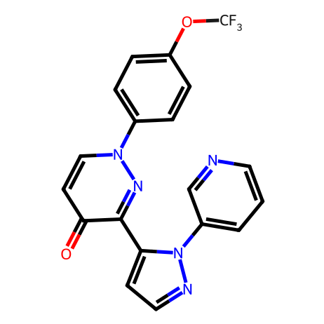 O=c1ccn(-c2ccc(OC(F)(F)F)cc2)nc1-c1ccnn1-c1cccnc1